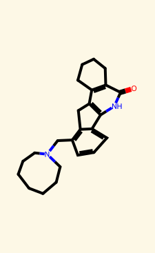 O=c1[nH]c2c(c3c1CCCC3)Cc1c(CN3CCCCCCC3)cccc1-2